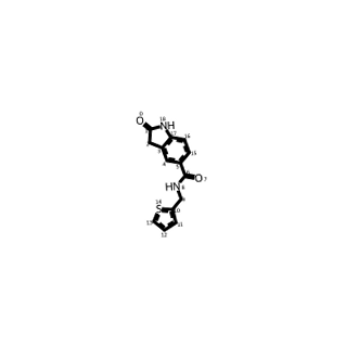 O=C1Cc2cc(C(=O)NCc3cccs3)ccc2N1